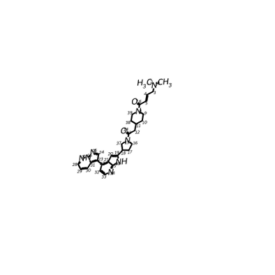 CN(C)C/C=C/C(=O)N1CCC(CC(=O)N2CCC(c3cc4c(-c5cnn6ncccc56)ccnc4[nH]3)C2)CC1